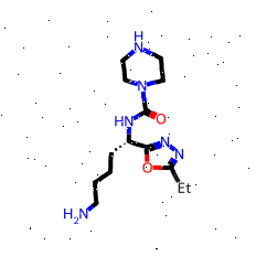 CCc1nnc([C@H](CCCCN)NC(=O)N2CCNCC2)o1